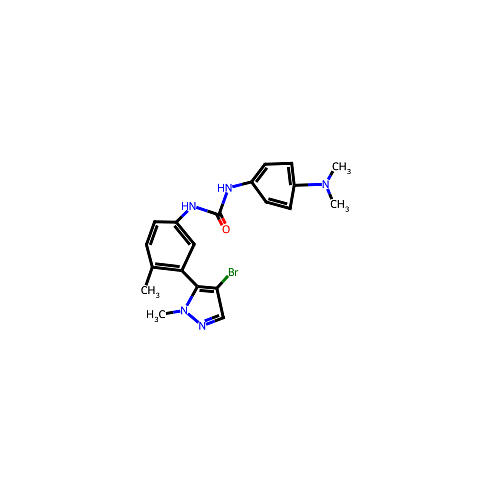 Cc1ccc(NC(=O)Nc2ccc(N(C)C)cc2)cc1-c1c(Br)cnn1C